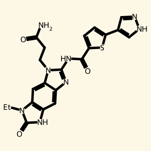 CCn1c(=O)[nH]c2cc3nc(NC(=O)c4ccc(-c5cn[nH]c5)s4)n(CCC(N)=O)c3cc21